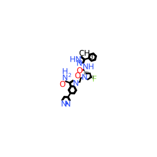 Cc1[nH]nc(NC(=O)[C@@H]2C[C@@H](F)CN2C(=O)Cn2cc(C(N)=O)c3cc(-c4ccnnc4)ccc32)c1-c1ccccc1